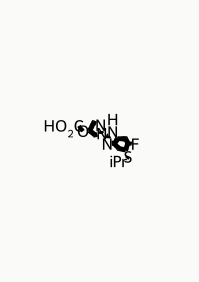 CC(C)Sc1cc2nc(-n3cc(OC(=O)O)cn3)[nH]c2cc1F